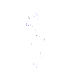 C/C=C(\C=C/CCNCC)c1cn(C)cn1